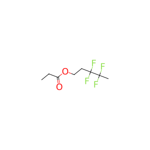 CCC(=O)OCCC(F)(F)C(C)(F)F